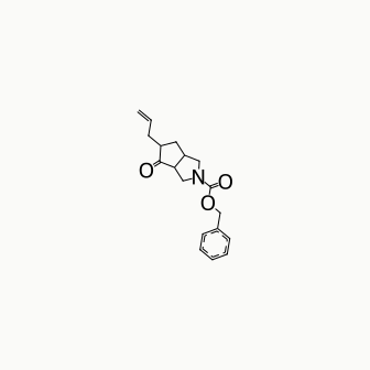 C=CCC1CC2CN(C(=O)OCc3ccccc3)CC2C1=O